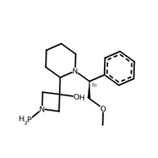 COC[C@H](c1ccccc1)N1CCCCC1C1(O)CN(P)C1